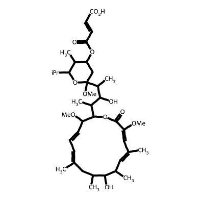 CO/C1=C\C(C)=C\C(C)C(O)C(C)C/C(C)=C/C=C/C(OC)C(C(C)C(O)C(C)C2(OC)CC(OC(=O)/C=C/C(=O)O)C(C)C(C(C)C)O2)OC1=O